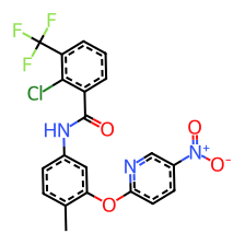 Cc1ccc(NC(=O)c2cccc(C(F)(F)F)c2Cl)cc1Oc1ccc([N+](=O)[O-])cn1